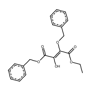 CCOC(=O)/C(OCc1ccccc1)=C(\O)C(=O)OCc1ccccc1